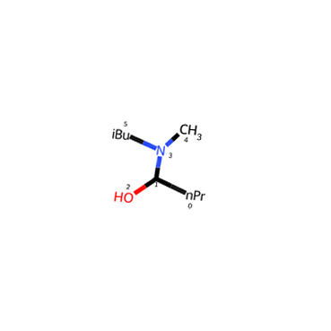 CCCC(O)N(C)C(C)CC